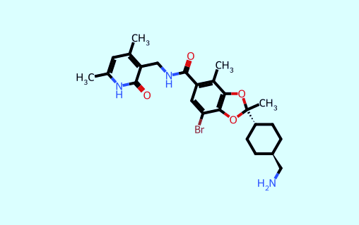 Cc1cc(C)c(CNC(=O)c2cc(Br)c3c(c2C)OC(C)([C@H]2CC[C@H](CN)CC2)O3)c(=O)[nH]1